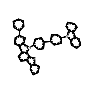 c1ccc(-c2ccc3c4ccc5c6ccccc6sc5c4n(-c4ccc(-c5ccc(-n6c7ccccc7c7ccccc76)cc5)cc4)c3c2)cc1